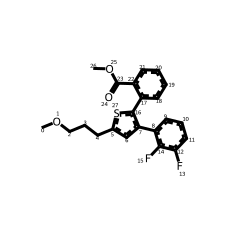 COCCCc1cc(-c2cccc(F)c2F)c(-c2ccccc2C(=O)OC)s1